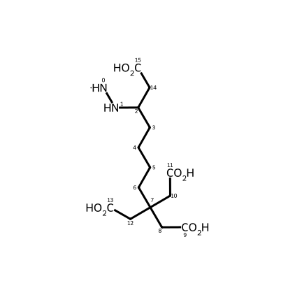 [NH]NC(CCCCC(CC(=O)O)(CC(=O)O)CC(=O)O)CC(=O)O